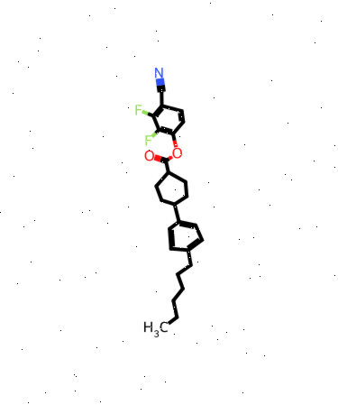 CCCCCCc1ccc(C2CCC(C(=O)Oc3ccc(C#N)c(F)c3F)CC2)cc1